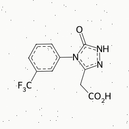 O=C(O)Cc1n[nH]c(=O)n1-c1cccc(C(F)(F)F)c1